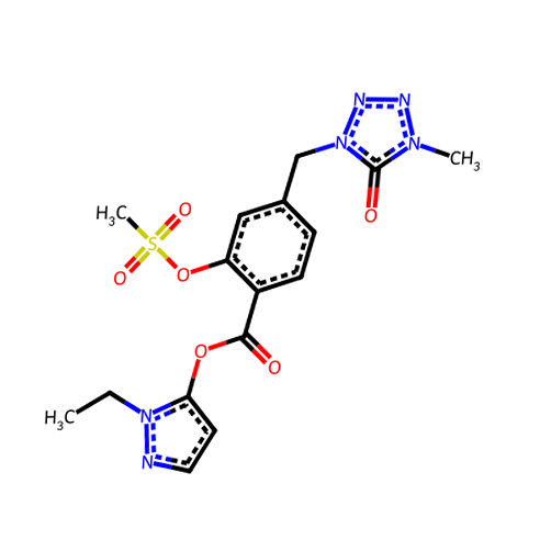 CCn1nccc1OC(=O)c1ccc(Cn2nnn(C)c2=O)cc1OS(C)(=O)=O